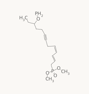 CCC(CCC#CC/C=C\C=C\CP(=O)(OC)OC)OP